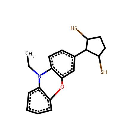 CCN1c2ccccc2Oc2cc(C3C(S)CCC3S)ccc21